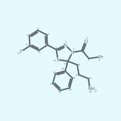 CC(C)CC(=O)N1N=C(c2cccc(F)c2)SC1(CCCN)c1ccccc1